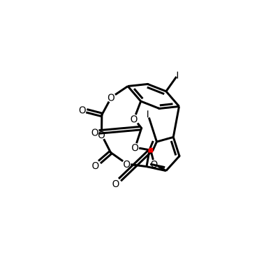 O=C1OC(=O)Oc2cc3c(I)cc2oc(=O)oc(=O)oc2cc(I)c3cc2O1